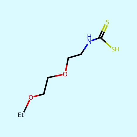 CCOCCOCCNC(=S)S